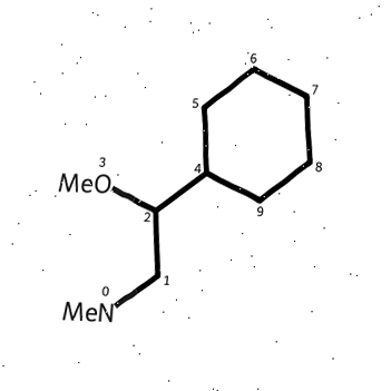 CNCC(OC)C1CCCCC1